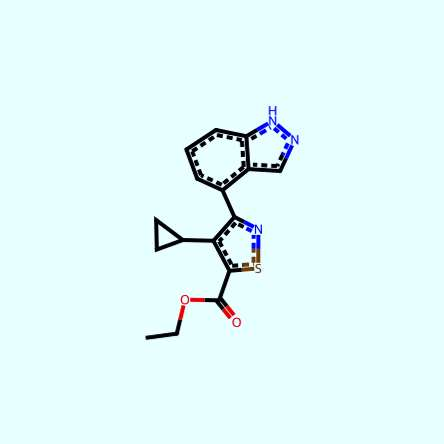 CCOC(=O)c1snc(-c2cccc3[nH]ncc23)c1C1CC1